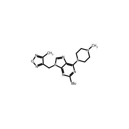 Cc1nonc1Cn1cnc2c(N3CCN(C)CC3)nc(C(C)(C)C)nc21